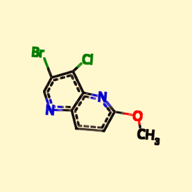 COc1ccc2ncc(Br)c(Cl)c2n1